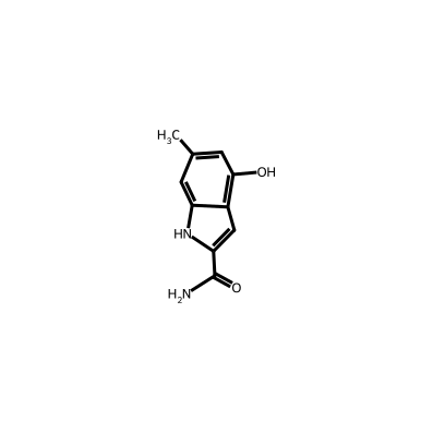 Cc1cc(O)c2cc(C(N)=O)[nH]c2c1